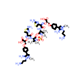 C[n+]1cc(-c2ccc(OC[C@H](O/N=C(\C(=O)N[C@@H]3C(=O)N(OS(=O)(=O)ON4C(=O)[C@@H](NC(=O)/C(=N\O[C@@H](COc5ccc(-c6c[n+](C)n(CCCN)c6N)cc5)C(=O)O)c5csc(N)n5)C4(C)C)C3(C)C)c3csc(N)n3)C(=O)O)cc2)c(N)n1CCCN